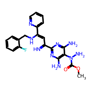 COC(=O)N(N)c1c(N)nc(C(=N)/C=C(\NCc2ccccc2F)c2ccccn2)nc1N